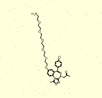 CC(=O)C[C@@H]1N=C(c2ccc(Cl)cc2)c2cc(OCCOCCOCCOCCOCCOCCN)ccc2-n2c(C)nnc21